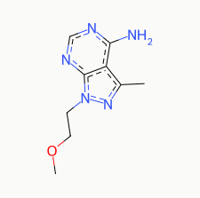 COCCn1nc(C)c2c(N)ncnc21